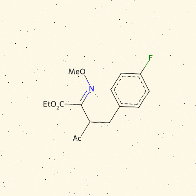 CCOC(=O)C(=NOC)C(Cc1ccc(F)cc1)C(C)=O